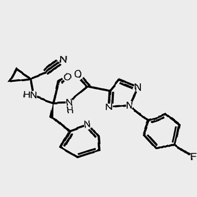 N#CC1(N[C@@](C=O)(Cc2ccccn2)NC(=O)c2cnn(-c3ccc(F)cc3)n2)CC1